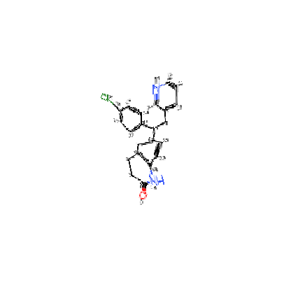 O=C1CCc2cc(C(Cc3cccnc3)c3ccc(Cl)cc3)ccc2N1